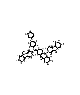 c1ccc(-c2ccc(N(c3ccc4c(c3)Oc3ccccc3N4c3ccc4c(c3)sc3ccccc34)c3ccc4c(c3)oc3ccccc34)cc2)cc1